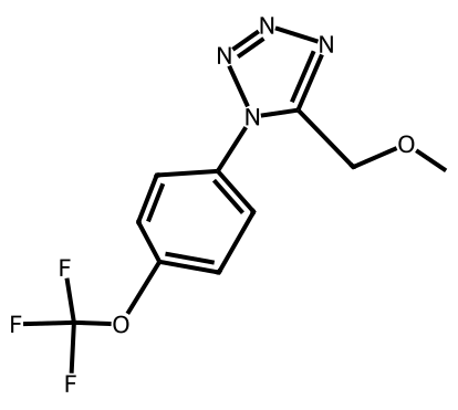 COCc1nnnn1-c1ccc(OC(F)(F)F)cc1